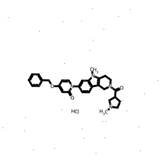 CN1CCC(C(=O)N2CCc3c(c4ccc(-n5ccc(OCc6ccccc6)cc5=O)cc4n3C)C2)C1.Cl